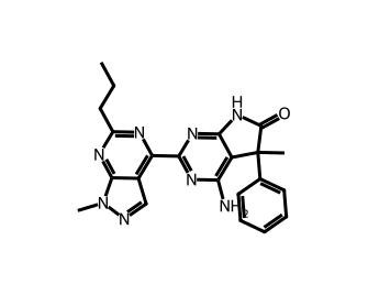 CCCc1nc(-c2nc(N)c3c(n2)NC(=O)C3(C)c2ccccc2)c2cnn(C)c2n1